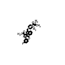 CC(=O)C1=NN2c3cc(F)ccc3OCC2[C@@]1(CCCN1CCN(C(=O)C(C)(C)C)CC1)c1ccccc1